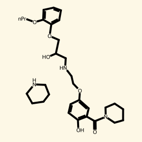 C1CCNCC1.CCCOc1ccccc1OCC(O)CNCCOc1ccc(O)c(C(=O)N2CCCCC2)c1